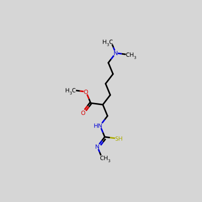 C/N=C(\S)NCC(CCCCN(C)C)C(=O)OC